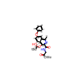 COC(=O)CNC(=O)c1nc(C)c2cc(Oc3ccccc3)ccc2c1OC(O)C(C)(C)C